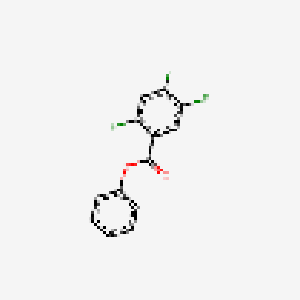 O=C(Oc1ccccc1)c1cc(F)c(F)cc1F